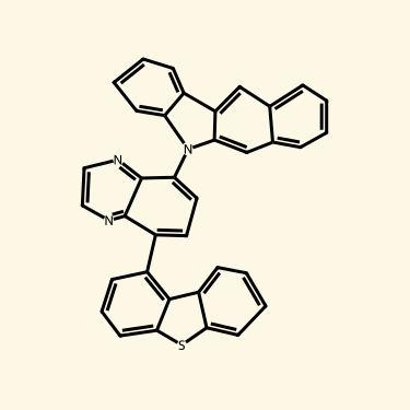 c1ccc2cc3c(cc2c1)c1ccccc1n3-c1ccc(-c2cccc3sc4ccccc4c23)c2nccnc12